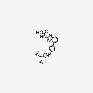 C1CC1.CN(C)CC1CN(Cc2ccc(-c3cccc4nc(NC(=O)O)nn34)cc2)C1